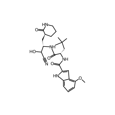 COc1cccc2[nH]c(C(=O)N[C@@H](CC(C)(C)C)C(=O)N[C@@H](C[C@@H]3CCCNC3=O)C(O)C#N)cc12